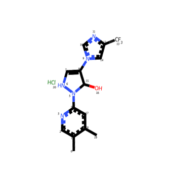 Cc1cnc(N2NC=C(n3cnc(C(F)(F)F)c3)C2O)cc1C.Cl